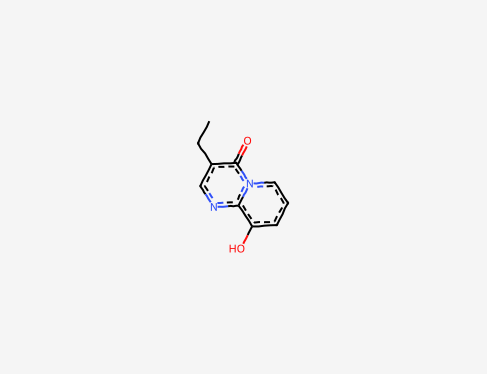 CCc1cnc2c(O)cccn2c1=O